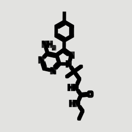 CCNC(=O)NCC(C)(C)n1nc(-c2ccc(C)cc2)c2c(N)ncnc21